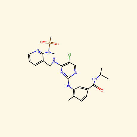 Cc1ccc(C(=O)NC(C)C)cc1Nc1ncc(Cl)c(NCc2cccnc2N(C)S(C)(=O)=O)n1